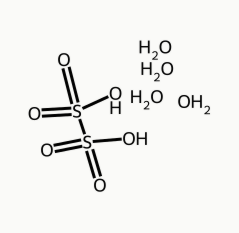 O.O.O.O.O=S(=O)(O)S(=O)(=O)O